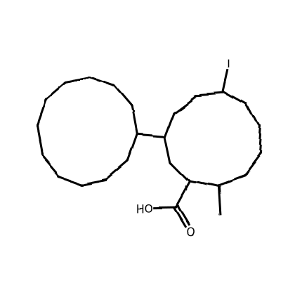 CC1CCCCC(I)CCC(C2CCCCCCCCCCC2)CC1C(=O)O